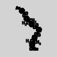 COc1ccc(C(C)(C)c2ccc(OC(=O)c3cccc(C(=O)Oc4ccc(C(C)(C)c5ccc(OC(=O)c6ccc(C(C)=O)cc6)cc5)cc4)c3)cc2)cc1